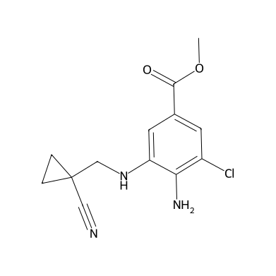 COC(=O)c1cc(Cl)c(N)c(NCC2(C#N)CC2)c1